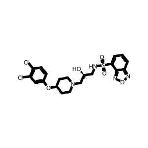 O=S(=O)(NC[C@H](O)CN1CCC(Oc2ccc(Cl)c(Cl)c2)CC1)c1cccc2nonc12